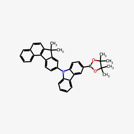 CC1(C)c2cc(-n3c4ccccc4c4cc(B5OC(C)(C)C(C)(C)O5)ccc43)ccc2-c2c1ccc1ccccc21